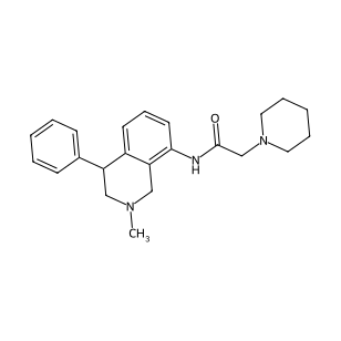 CN1Cc2c(NC(=O)CN3CCCCC3)cccc2C(c2ccccc2)C1